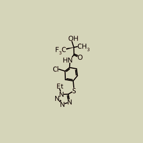 CCn1nnnc1Sc1ccc(NC(=O)[C@@](C)(O)C(F)(F)F)c(Cl)c1